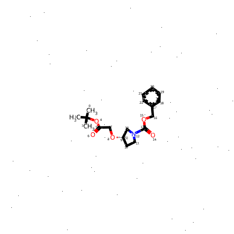 CC(C)(C)OC(=O)CO[C@H]1CCN(C(=O)OCc2ccccc2)C1